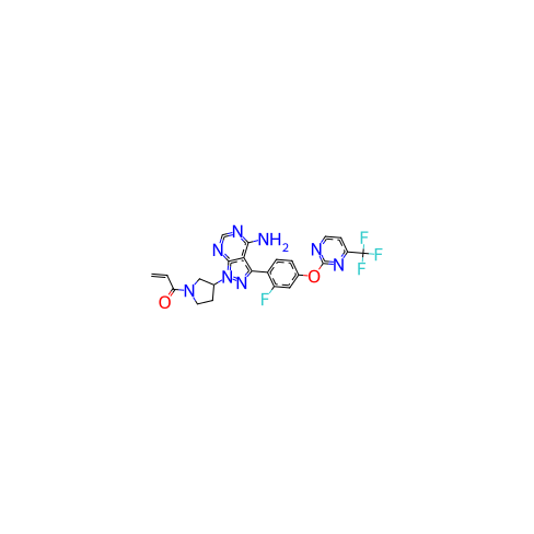 C=CC(=O)N1CCC(n2nc(-c3ccc(Oc4nccc(C(F)(F)F)n4)cc3F)c3c(N)ncnc32)C1